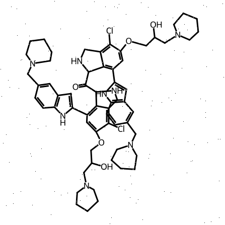 O=C(C1NCc2c(Cl)c(OCC(O)CN3CCCCC3)cc(-c3cc4cc(CN5CCCCC5)ccc4[nH]3)c21)C1NCc2c(Cl)c(OCC(O)CN3CCCCC3)cc(-c3cc4cc(CN5CCCCC5)ccc4[nH]3)c21